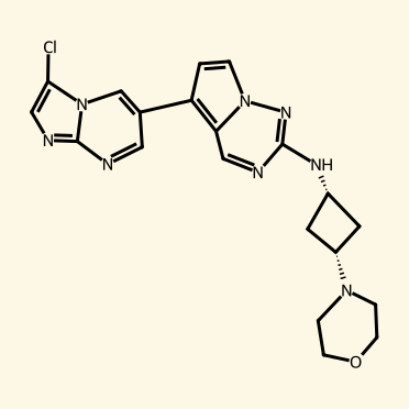 Clc1cnc2ncc(-c3ccn4nc(N[C@H]5C[C@@H](N6CCOCC6)C5)ncc34)cn12